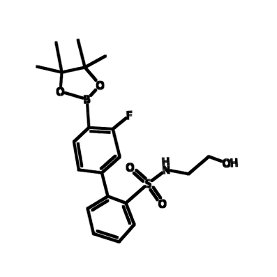 CC1(C)OB(c2ccc(-c3ccccc3S(=O)(=O)NCCO)cc2F)OC1(C)C